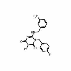 CC(C)n1c(=O)nc(NCc2cccc(C(F)(F)F)c2)n(Cc2ccc(F)cc2)c1=O